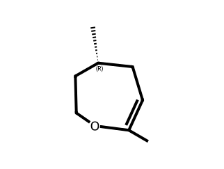 CC1=CC[C@@H](C)CCO1